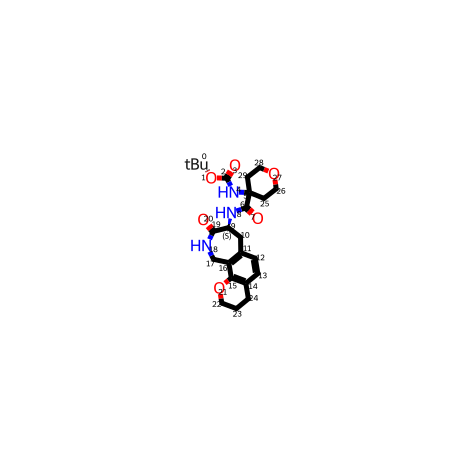 CC(C)(C)OC(=O)NC1(C(=O)N[C@H]2Cc3ccc4c(c3CNC2=O)OCCC4)CCOCC1